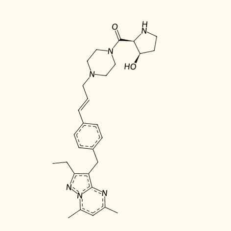 CCc1nn2c(C)cc(C)nc2c1Cc1ccc(/C=C/CN2CCN(C(=O)[C@H]3NCC[C@H]3O)CC2)cc1